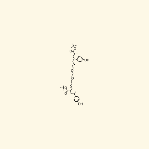 CC(CC(CSCCOCCOCCSCC(CC(C)c1ccc(O)cc1)C(=O)OC(C)(C)C)c1ccc(O)cc1)C(=O)OC(C)(C)C